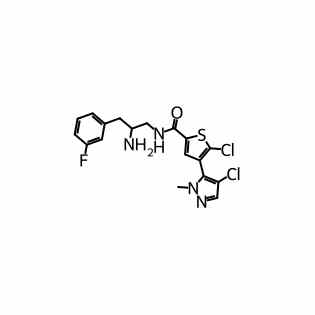 Cn1ncc(Cl)c1-c1cc(C(=O)NCC(N)Cc2cccc(F)c2)sc1Cl